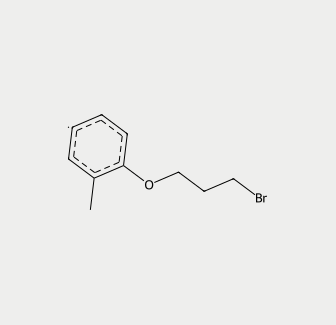 Cc1c[c]ccc1OCCCBr